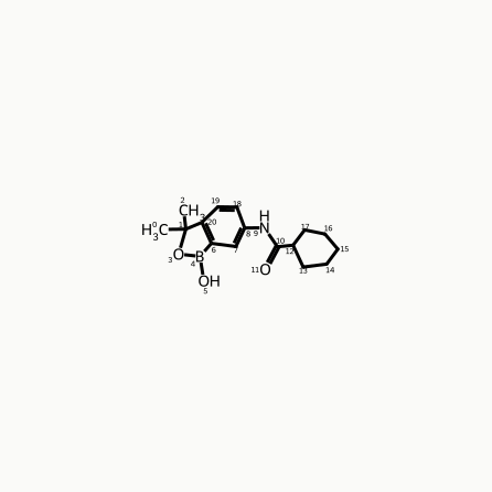 CC1(C)OB(O)c2cc(NC(=O)C3CCCCC3)ccc21